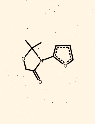 CC1(C)OCC(=O)N1c1ccco1